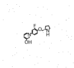 OC1=CC=CN(c2ccc(OC[C@H]3CCCN3)c(F)c2)C1